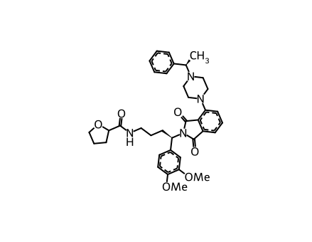 COc1ccc([C@@H](CCCNC(=O)C2CCCO2)N2C(=O)c3cccc(N4CCN([C@H](C)c5ccccc5)CC4)c3C2=O)cc1OC